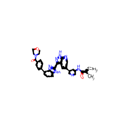 CC(C)C(=O)Nc1cncc(-c2cnc3[nH]nc(-c4nc5c(-c6ccc(C(=O)N7CCOCC7)cc6)cccc5[nH]4)c3c2)c1